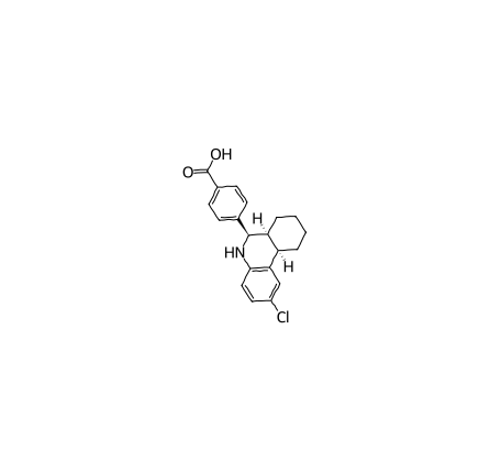 O=C(O)c1ccc([C@@H]2Nc3ccc(Cl)cc3[C@@H]3CCCC[C@@H]32)cc1